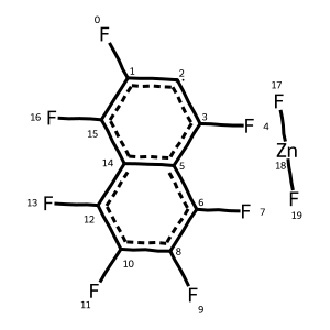 Fc1[c]c(F)c2c(F)c(F)c(F)c(F)c2c1F.[F][Zn][F]